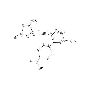 CC(O)C1CCN(c2cc(Cl)ncc2C#Cc2cn(C)nc2C(F)(F)F)CC1